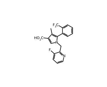 Cc1c(C(=O)O)cn(Cc2ncccc2F)c1-c1ccccc1C(F)(F)F